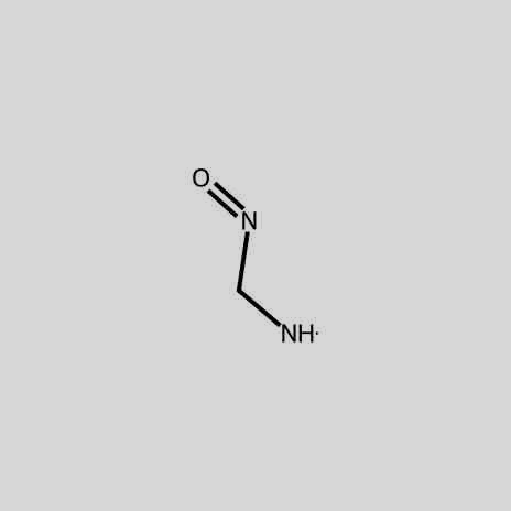 [NH]CN=O